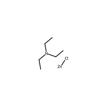 CCN(CC)CC.[Cl][Zn]